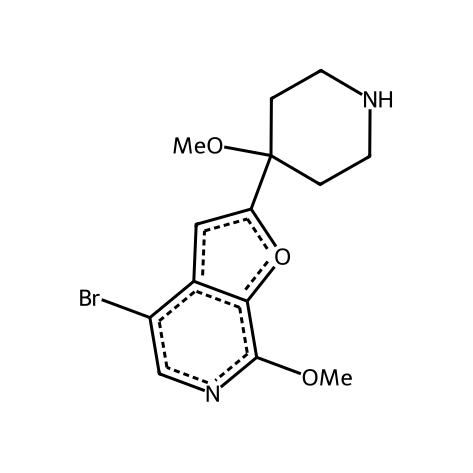 COc1ncc(Br)c2cc(C3(OC)CCNCC3)oc12